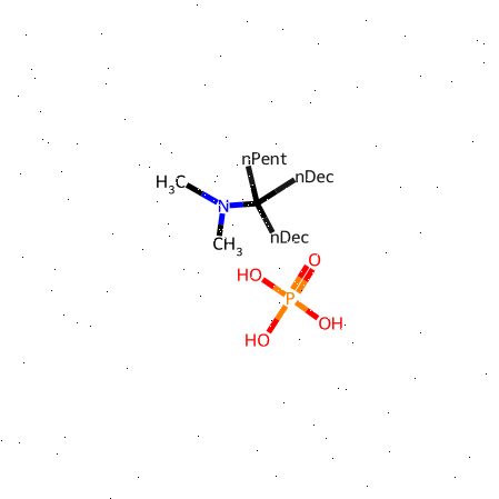 CCCCCCCCCCC(CCCCC)(CCCCCCCCCC)N(C)C.O=P(O)(O)O